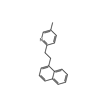 Cc1ccc(CCc2cccc3ccccc23)nc1